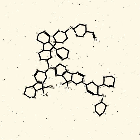 C=CC1CCC(OC2CCC(C3(C4C=CCCC4)C4C=CCCC4C4CCC(N(C5=CC6=C(CC5)C5C=CC(C7C=CC(NC8CCCCC8)C(C8C=CCCC8)C7)CC5C6(C)C)C5C=CC6=C(C5)C(C)(C)C5CCCCC65)CC43)CC2)CC1